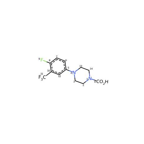 O=C(O)N1CCN(c2ccc(F)c(C(F)(F)F)c2)CC1